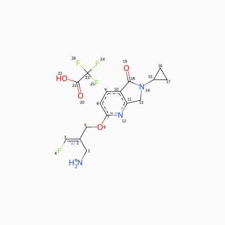 NC/C(=C\F)COc1ccc2c(n1)CN(C1CC1)C2=O.O=C(O)C(F)(F)F